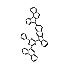 c1ccc(-c2nc(-c3cc4ccccc4c4ccccc34)nc(-n3c4ccccc4c4cc5ccc(-n6c7ccccc7c7c8ccccc8ccc76)cc5cc43)n2)cc1